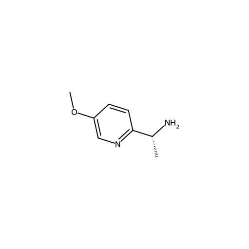 COc1ccc([C@@H](C)N)nc1